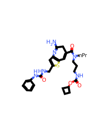 CCCN(CCCNC(=O)OC1CCC1)C(=O)C1=Cc2sc(CNC(=O)Nc3ccccc3)cc2N=C(N)C1